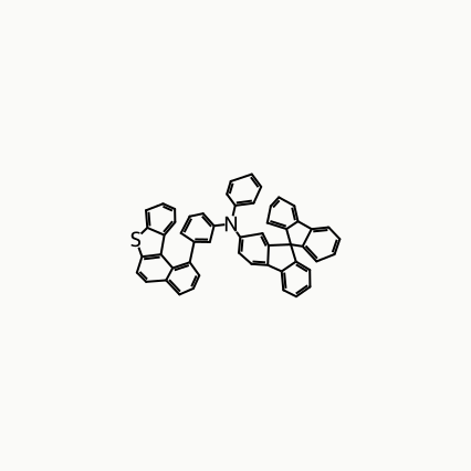 c1ccc(N(c2cccc(-c3cccc4ccc5sc6ccccc6c5c34)c2)c2ccc3c(c2)C2(c4ccccc4-c4ccccc42)c2ccccc2-3)cc1